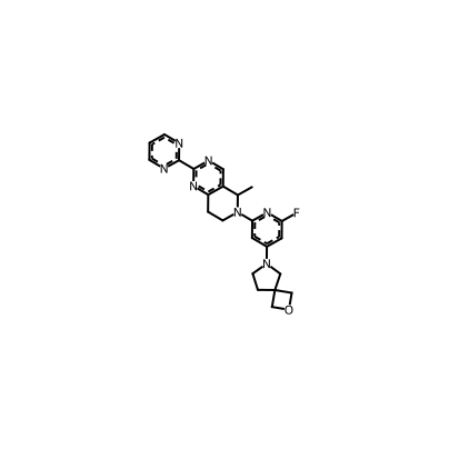 CC1c2cnc(-c3ncccn3)nc2CCN1c1cc(N2CCC3(COC3)C2)cc(F)n1